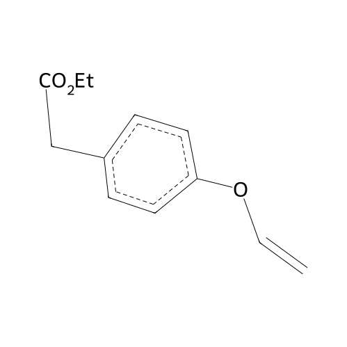 C=COc1ccc(CC(=O)OCC)cc1